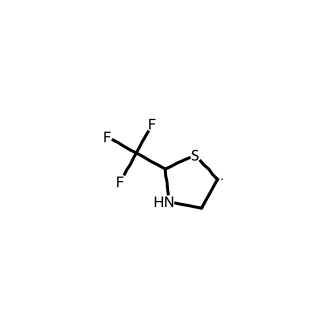 FC(F)(F)C1NC[CH]S1